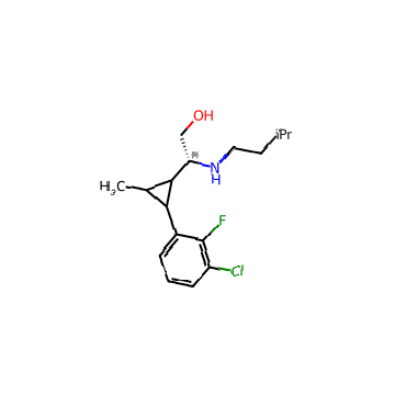 CC(C)CCN[C@@H](CO)C1C(C)C1c1cccc(Cl)c1F